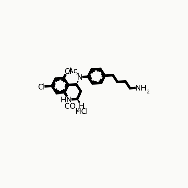 CC(=O)N(c1ccc(CCCCN)cc1)[C@@H]1C[C@@H](C(=O)O)Nc2cc(Cl)cc(Cl)c21.Cl